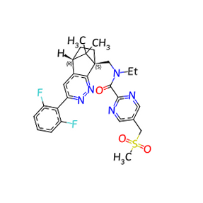 CCN(C[C@@]12CC[C@@H](c3cc(-c4c(F)cccc4F)nnc31)C2(C)C)C(=O)c1ncc(CS(C)(=O)=O)cn1